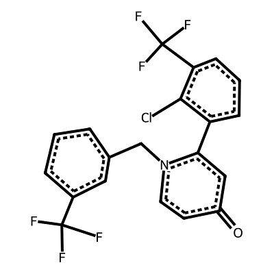 O=c1ccn(Cc2cccc(C(F)(F)F)c2)c(-c2cccc(C(F)(F)F)c2Cl)c1